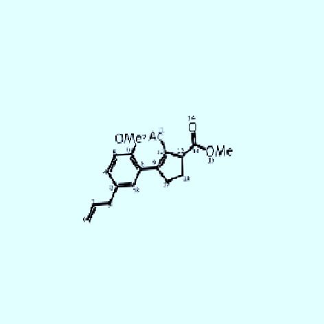 C=CCc1ccc(OC)c(C2=C(C(C)=O)C(C(=O)OC)CC2)c1